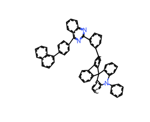 c1ccc(N2c3ccccc3C3(c4ccccc4-c4cc(-c5cccc(-c6nc(-c7ccc(-c8cccc9ccccc89)cc7)c7ccccc7n6)c5)ccc43)c3ccccc32)cc1